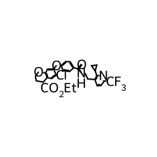 CCOC(=O)C1CCOc2cc(Oc3ccc(C(=O)NCCc4ccc(C(F)(F)F)nc4C4CC4)cc3)c(Cl)cc21